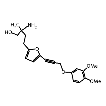 COc1ccc(OCC#Cc2ccc(CCC(C)(N)CO)o2)cc1OC